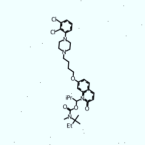 CCC(C)(C)N(C)C(=O)OC(C(C)C)n1c(=O)ccc2ccc(OCCCCN3CCN(c4cccc(Cl)c4Cl)CC3)cc21